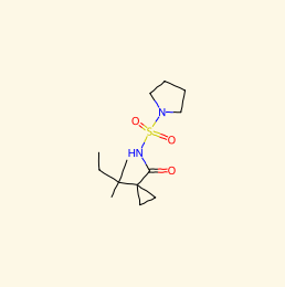 CCC(C)(C)C1(C(=O)NS(=O)(=O)N2CCCC2)CC1